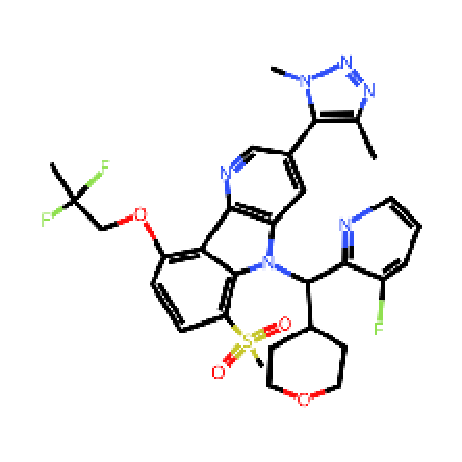 Cc1nnn(C)c1-c1cnc2c3c(OCC(C)(F)F)ccc(S(C)(=O)=O)c3n(C(c3ncccc3F)C3CCOCC3)c2c1